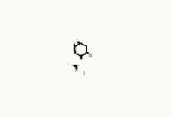 CC(=O)OC1CC2OC2CC1C